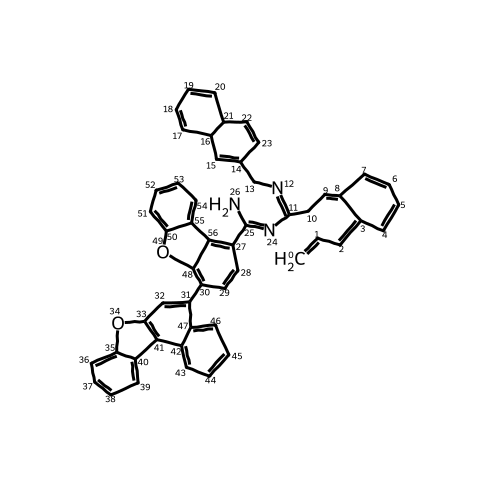 C=C/C=c1/cccc/c1=C/CC(=N/CC1=CC2C=CC=CC2C=C1)/N=C(\N)c1ccc(-c2cc3oc4ccccc4c3c3ccccc23)c2oc3ccccc3c12